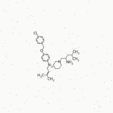 CC(C)=CCN(c1ccc(OCc2ccc(Cl)cc2)cc1)[C@H]1CCCN(CC(N)CC(C)C)C1